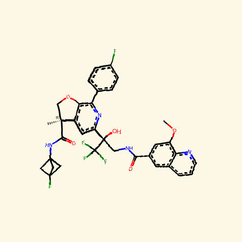 COc1cc(C(=O)NCC(O)(c2cc3c(c(-c4ccc(F)cc4)n2)OC[C@]3(C)C(=O)NC23CC(F)(C2)C3)C(F)(F)F)cc2cccnc12